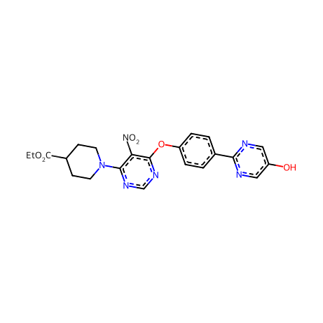 CCOC(=O)C1CCN(c2ncnc(Oc3ccc(-c4ncc(O)cn4)cc3)c2[N+](=O)[O-])CC1